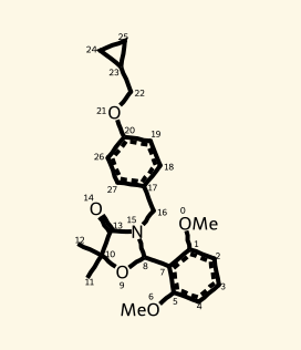 COc1cccc(OC)c1C1OC(C)(C)C(=O)N1Cc1ccc(OCC2CC2)cc1